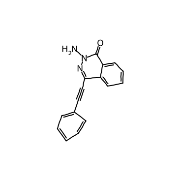 Nn1nc(C#Cc2ccccc2)c2ccccc2c1=O